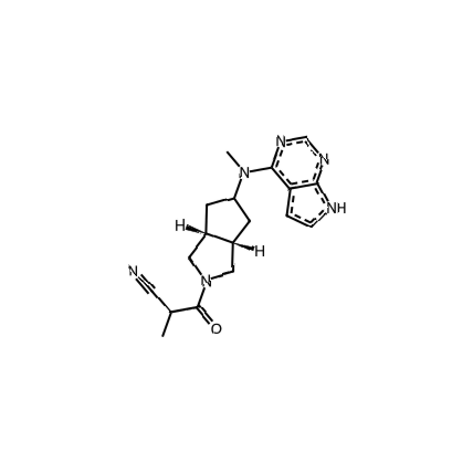 CC(C#N)C(=O)N1C[C@H]2CC(N(C)c3ncnc4[nH]ccc34)C[C@H]2C1